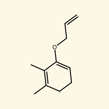 C=CCOC1=CC[CH]C(C)=C1C